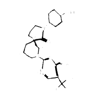 O=C1N([C@H]2CC[C@H](O)CC2)CC[C@@]12CCCN(c1ncc(C(F)(F)F)c(F)n1)C2